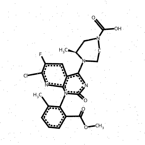 COC(=O)c1cccc(C)c1-n1c(=O)nc(N2CCN(C(=O)O)C[C@@H]2C)c2cc(F)c(Cl)nc21